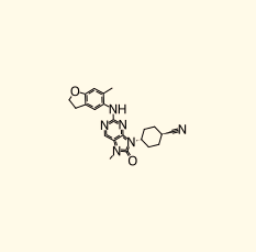 Cc1cc2c(cc1Nc1ncc3c(n1)n([C@H]1CC[C@H](C#N)CC1)c(=O)n3C)CCO2